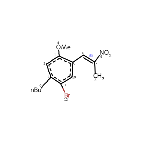 CCCCc1cc(OC)c(/C=C(\C)[N+](=O)[O-])cc1Br